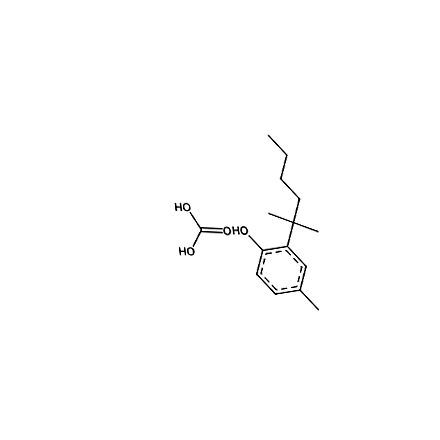 CCCCC(C)(C)c1cc(C)ccc1O.O=C(O)O